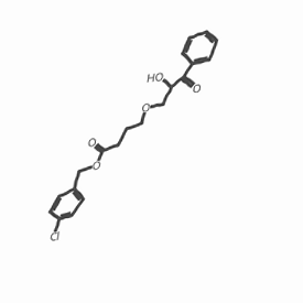 O=C(CCCOCC(O)C(=O)c1ccccc1)OCc1ccc(Cl)cc1